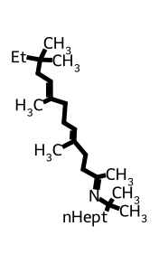 CCCCCCCC(C)(C)/N=C(\C)CC/C(C)=C/CC/C(C)=C/CC(C)(C)CC